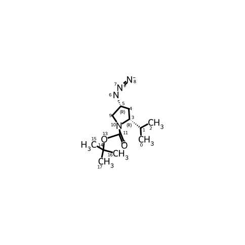 CC(C)[C@H]1C[C@@H](N=[N+]=[N-])CN1C(=O)OC(C)(C)C